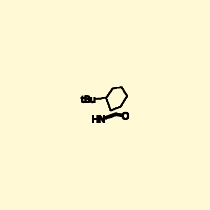 CC(C)(C)C1CCCCC1.N=C=O